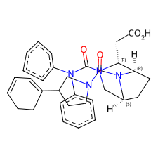 O=C(O)C[C@@H]1[C@H]2CC[C@@H](CN1C(=O)N(c1ccccc1)c1ccccc1)N2C(=O)N1CCC(C2=CC=CCC2)C1